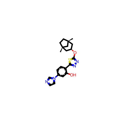 C[C@]12CC[C@](C)(C[C@@H](Oc3nnc(-c4ccc(-n5ccnc5)cc4O)s3)C1)C2